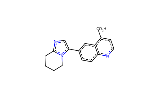 O=C(O)c1ccnc2ccc(-c3cnc4n3CCCC4)cc12